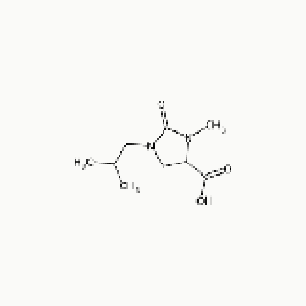 CC(C)CN1CC(C(=O)O)N(C)C1=O